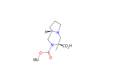 CC(C)(C)OC(=O)N1C[C@@H]2CCCN2C[C@@]1(C)C(=O)O